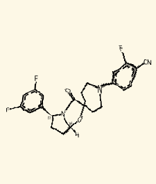 N#Cc1ccc(N2CCC3(CC2)O[C@@H]2CC[C@@H](c4cc(F)cc(F)c4)N2C3=O)cc1F